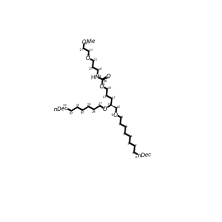 CCCCCCCCCCCCCCCCCCOC[C@H](CCCOC(=O)NCCCOCCOC)OCCCCCCCCCCCCCCCC